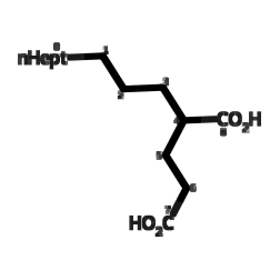 CCCCCCCCCCC(CCC(=O)O)C(=O)O